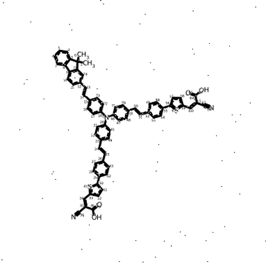 CC1(C)c2ccccc2-c2ccc(/C=C/c3ccc(N(c4ccc(/C=C/c5ccc(-c6ccc(/C=C(/C#N)C(=O)O)s6)cc5)cc4)c4ccc(/C=C/c5ccc(-c6ccc(/C=C(/C#N)C(=O)O)s6)cc5)cc4)cc3)cc21